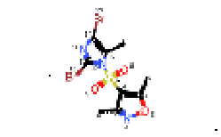 Cc1noc(C)c1S(=O)(=O)n1c(Br)nc(Br)c1C